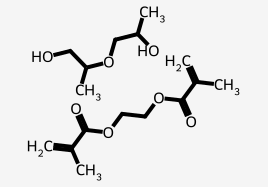 C=C(C)C(=O)OCCOC(=O)C(=C)C.CC(O)COC(C)CO